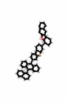 c1ccc2cc3c(cc2c1)oc1c(-c2ccc4c(c2)sc2cc(-c5c6ccccc6c(-c6cccc7ccccc67)c6ccccc56)ccc24)cccc13